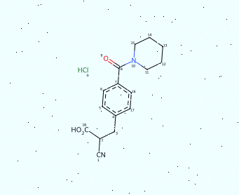 Cl.N#CC(Cc1ccc(C(=O)N2CCCCC2)cc1)C(=O)O